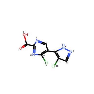 O=C(O)c1ncc(-c2[nH]ncc2Cl)c(Cl)n1